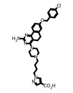 Nc1nc2c(c(N3CCN(CCCCn4cc(C(=O)O)cn4)CC3)n1)CCc1cc(OCc3ccc(Cl)cc3)ccc1-2